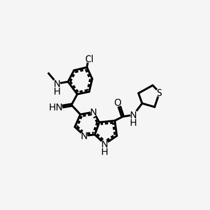 CNc1cc(Cl)ccc1C(=N)c1cnc2[nH]cc(C(=O)NC3CCSC3)c2n1